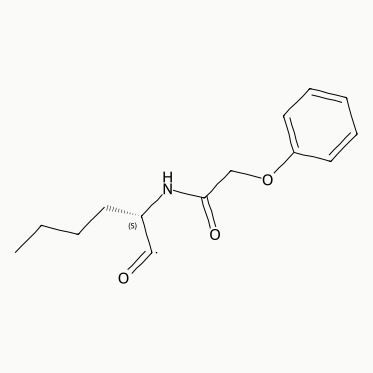 CCCC[C@@H]([C]=O)NC(=O)COc1ccccc1